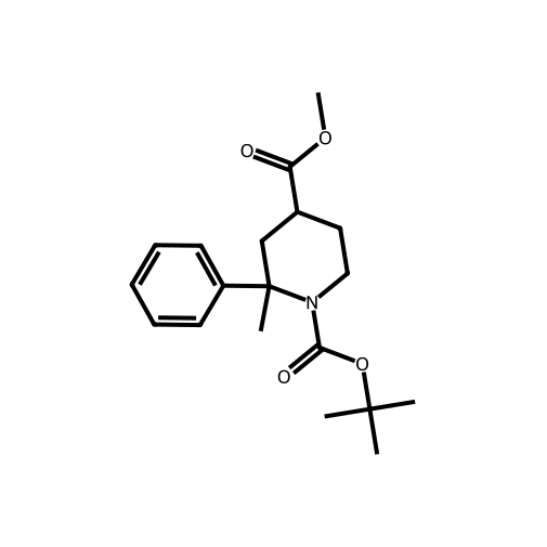 COC(=O)C1CCN(C(=O)OC(C)(C)C)C(C)(c2ccccc2)C1